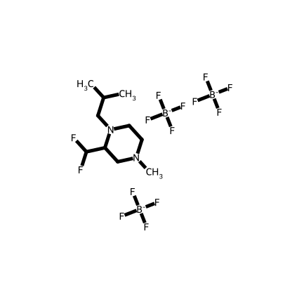 CC(C)CN1CCN(C)CC1C(F)F.F[B-](F)(F)F.F[B-](F)(F)F.F[B-](F)(F)F